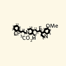 COc1ccc2nccc([C@@H](F)CC[C@@H]3CCN(CCCc4ccccc4C(F)(F)F)C[C@@H]3CC(=O)O)c2c1